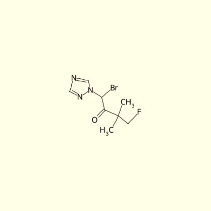 CC(C)(CF)C(=O)C(Br)n1cncn1